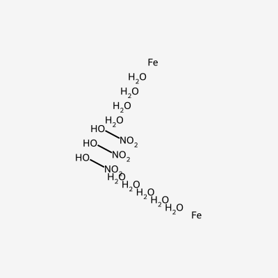 O.O.O.O.O.O.O.O.O.O=[N+]([O-])O.O=[N+]([O-])O.O=[N+]([O-])O.[Fe].[Fe]